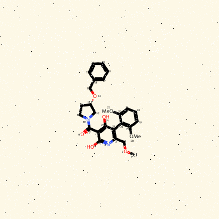 CCOCc1nc(O)c(C(=O)N2CC[C@H](OCc3ccccc3)C2)c(O)c1-c1c(OC)cccc1OC